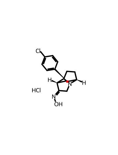 Cl.O/N=C1\CN2C3CC[C@H]2C[C@H](c2ccc(Cl)cc2)[C@H]13